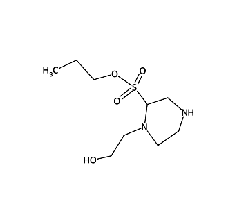 CCCOS(=O)(=O)C1CNCCN1CCO